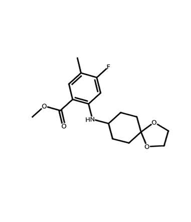 COC(=O)c1cc(C)c(F)cc1NC1CCC2(CC1)OCCO2